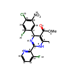 COC(=O)C1=C(C)NC(c2ncccc2F)=NC1c1cc([N+](=O)[O-])c(Cl)cc1F